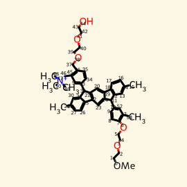 COCCOCCOc1ccc(C2c3cc(C)ccc3-c3cc4c(cc32)-c2ccc(C)cc2C4c2ccc(COCCOCCO)c(C[N+](C)(C)C)c2)cc1C